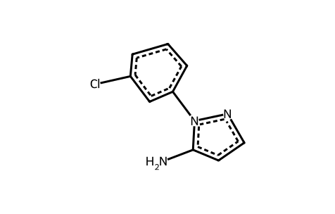 Nc1ccnn1-c1cccc(Cl)c1